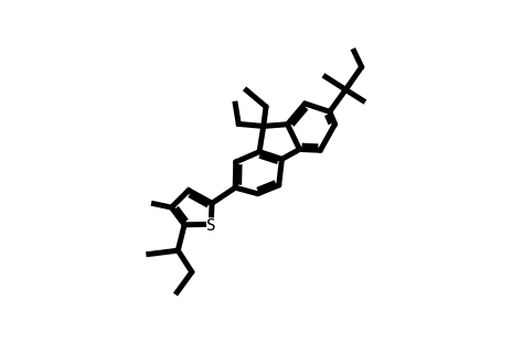 CCC(C)c1sc(-c2ccc3c(c2)C(CC)(CC)c2cc(C(C)(C)CC)ccc2-3)cc1C